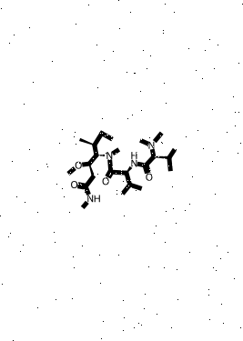 CC[C@H](C)[C@@H]([C@@H](CC(=O)NC)OC)N(C)C(=O)[C@@H](NC(=O)[C@H](C(C)C)N(C)C)C(C)C